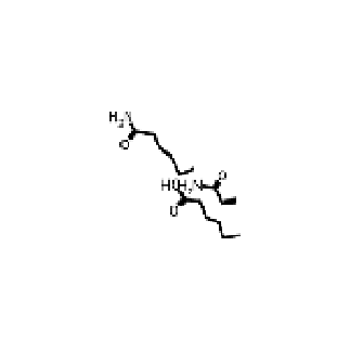 C=CC(N)=O.CCCCCC(=O)O.CCCCCC(N)=O